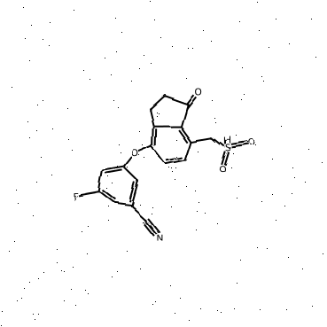 N#Cc1cc(F)cc(Oc2ccc(C[SH](=O)=O)c3c2CCC3=O)c1